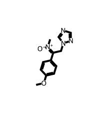 COc1ccc(C(Cn2cncn2)=[N+](C)[O-])cc1